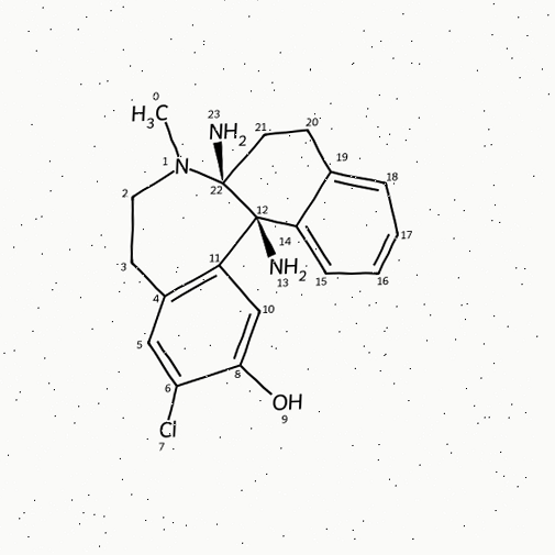 CN1CCc2cc(Cl)c(O)cc2[C@@]2(N)c3ccccc3CC[C@@]12N